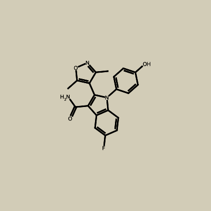 Cc1noc(C)c1-c1c(C(N)=O)c2cc(F)ccc2n1-c1ccc(O)cc1